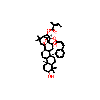 C/C=C(/C)C(=O)O[C@@H]1C2[C@H]3O[C@]45CCC6[C@@]7(C)CC[C@H](O)C(C)(C)C7CC[C@@]6(C)[C@]4(C)C[C@@H](O)[C@]3(C5CC2(C)C)[C@H]1OC(=O)/C=C\c1ccccc1